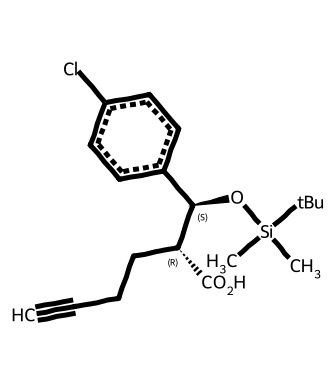 C#CCC[C@@H](C(=O)O)[C@H](O[Si](C)(C)C(C)(C)C)c1ccc(Cl)cc1